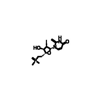 C=C1NC(=O)C=CN1[C@@H]1O[C@H](CCP(=C)(C)C)[C@@H](O)[C@H]1I